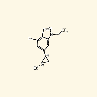 CC[C@H]1C[C@@H]1c1cc(F)c2cnn(CC(F)(F)F)c2c1